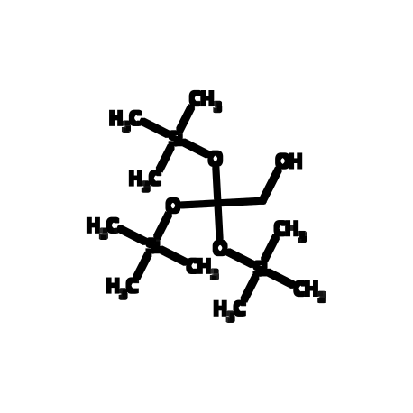 C[Si](C)(C)OC(CO)(O[Si](C)(C)C)O[Si](C)(C)C